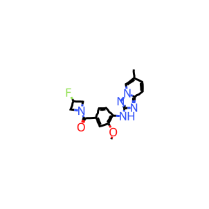 COc1cc(C(=O)N2CC(F)C2)ccc1Nc1nc2ccc(C)cn2n1